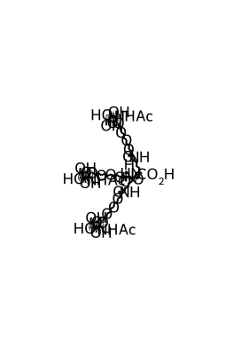 CC(=O)N[C@H]1[C@H](OCCOCCOCCOCC(=O)NCCCCC(NC(=O)[C@H](CCCCNC(=O)COCCOCCOCCO[C@@H]2O[C@H](CO)[C@H](O)[C@H](O)[C@H]2NC(C)=O)NC(=O)COCCOCCOCCO[C@@H]2O[C@H](CO)[C@H](O)[C@H](O)[C@H]2NC(C)=O)C(=O)O)O[C@H](CO)[C@H](O)[C@@H]1O